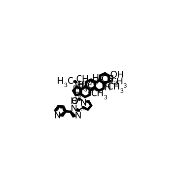 C=C(C)[C@@H]1CC[C@]2(C(=O)N3CCC[C@H]3c3ncc(-c4cccnc4)[nH]3)CC[C@]3(C)[C@H](CC[C@@H]4[C@@]5(C)CC[C@H](O)C(C)(C)[C@@H]5CC[C@]43C)[C@@H]12